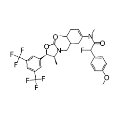 COc1ccc(C(F)C(=O)N(C)C2=CCC(C)C(CN3C(=O)O[C@H](c4cc(C(F)(F)F)cc(C(F)(F)F)c4)[C@@H]3C)C2)cc1